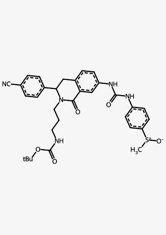 C[S+]([O-])c1ccc(NC(=O)Nc2ccc3c(c2)C(=O)N(CCCNC(=O)OC(C)(C)C)C(c2ccc(C#N)cc2)C3)cc1